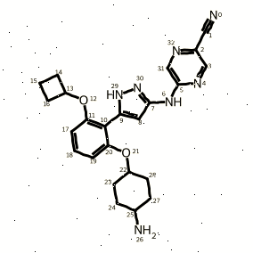 N#Cc1cnc(Nc2cc(-c3c(OC4CCC4)cccc3OC3CCC(N)CC3)[nH]n2)cn1